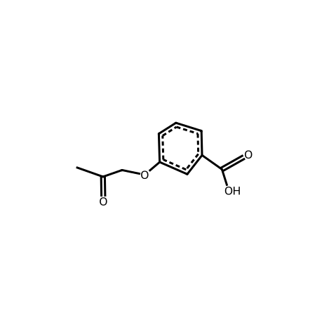 CC(=O)COc1cccc(C(=O)O)c1